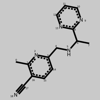 Cc1nc(CNC(C)c2ncccn2)ccc1C#N